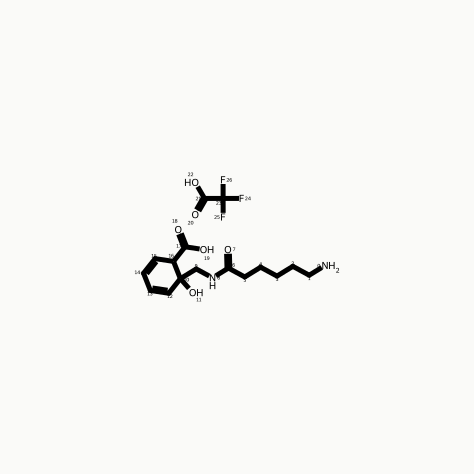 NCCCCCC(=O)NCC1(O)C=CC=CC1C(=O)O.O=C(O)C(F)(F)F